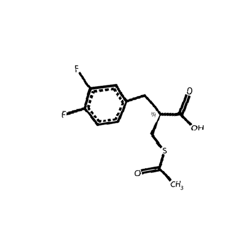 CC(=O)SC[C@@H](Cc1ccc(F)c(F)c1)C(=O)O